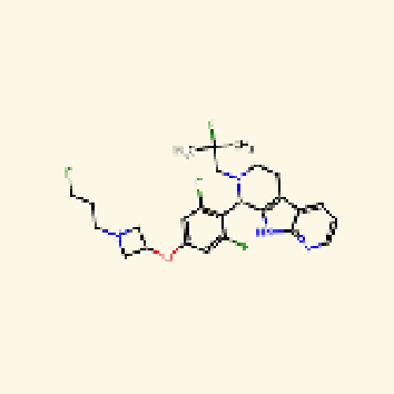 CC(C)(F)CN1CCc2c([nH]c3ncccc23)C1c1c(F)cc(OC2CN(CCCF)C2)cc1F